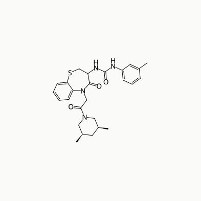 Cc1cccc(NC(=O)NC2CSc3ccccc3N(CC(=O)N3C[C@H](C)C[C@H](C)C3)C2=O)c1